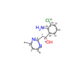 Cc1cc(C)nc(CC(O)c2cccc(Cl)c2N)n1